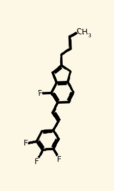 CCCCC1=Cc2c(ccc(/C=C/c3cc(F)c(F)c(F)c3)c2F)C1